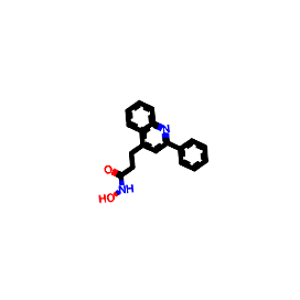 O=C(CCc1cc(-c2ccccc2)nc2ccccc12)NO